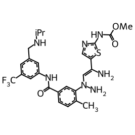 COC(=O)Nc1ncc(/C(N)=C/N(N)c2cc(C(=O)Nc3cc(CNC(C)C)cc(C(F)(F)F)c3)ccc2C)s1